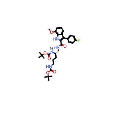 COc1cccc2c(-c3ccc(F)cc3)c(C(=O)NC[C@H](CCCNC(=O)OC(C)(C)C)NC(=O)OC(C)(C)C)[nH]c12